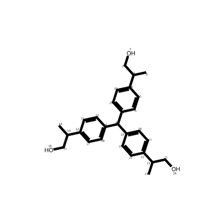 CC(CO)c1ccc(C(c2ccc(C(C)CO)cc2)c2ccc(C(C)CO)cc2)cc1